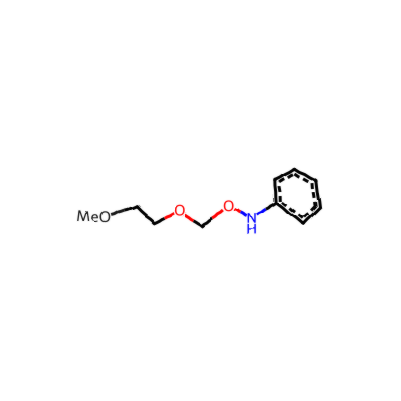 COCCOCONc1ccccc1